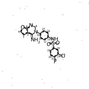 NC1=c2ccoc2=NCN1c1ccc(NS(=O)(=O)c2ccc(F)c(Cl)c2)cc1